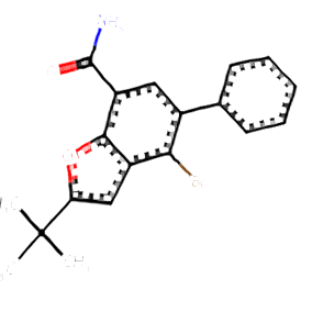 CC(C)(C)c1cc2c(Br)c(-c3ccccc3)cc(C(N)=O)c2o1